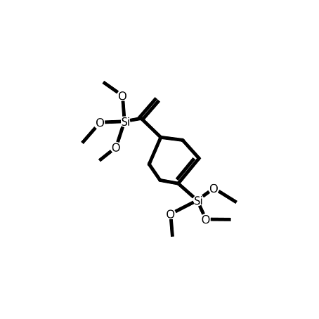 C=C(C1CC=C([Si](OC)(OC)OC)CC1)[Si](OC)(OC)OC